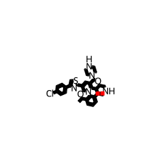 CCc1cccc(CC)c1-n1c(C2CCNCC2)c(C(=O)N2CCNCC2)cc(-c2nc(-c3ccc(Cl)cc3)cs2)c1=O